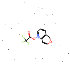 O=C(O[n+]1cccc2c1C=COC2)C(F)(F)F